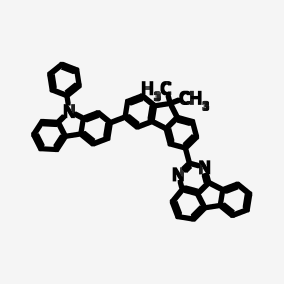 CC1(C)c2ccc(-c3ccc4c5ccccc5n(-c5ccccc5)c4c3)cc2-c2cc(-c3nc4c5c(cccc5n3)-c3ccccc3-4)ccc21